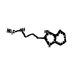 O=C(O)NCCCc1nc2ccccc2[nH]1